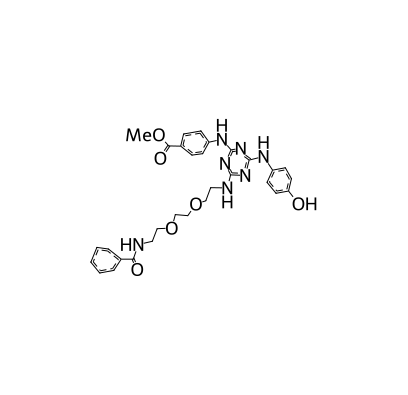 COC(=O)c1ccc(Nc2nc(NCCOCCOCCNC(=O)c3ccccc3)nc(Nc3ccc(O)cc3)n2)cc1